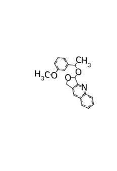 COc1cccc(C(C)OC2OCc3cc4ccccc4nc32)c1